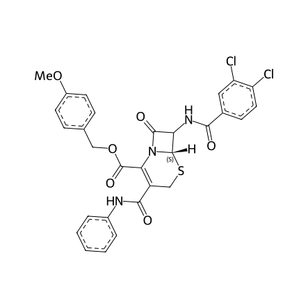 COc1ccc(COC(=O)C2=C(C(=O)Nc3ccccc3)CS[C@H]3C(NC(=O)c4ccc(Cl)c(Cl)c4)C(=O)N23)cc1